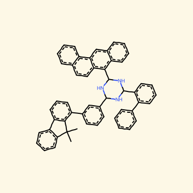 CC1(C)c2ccccc2-c2cccc(-c3cccc(C4NC(c5ccccc5-c5ccccc5)NC(c5c6ccccc6cc6c5ccc5ccccc56)N4)c3)c21